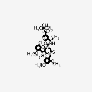 CC[C@@H](NC(=O)N1CC(=S)N(Cc2c(OC)cc(OC)cc2OC)CC(Cc2cc(Cl)ccc2OC)C1=O)c1cncc(C(=O)OC(C)(C)C)c1